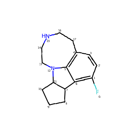 Fc1ccc2c3c1C1CCCC1N3CCNCC2